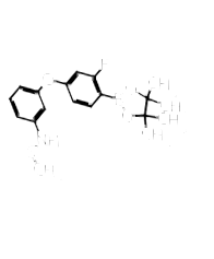 CSNc1cccc(Oc2ccc(B3OC(C)(C)C(C)(C)O3)c(F)c2)c1